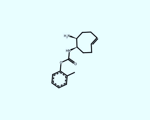 Cc1ccccc1OC(=O)N[C@@H]1CC/C=C/CC[C@@H]1N